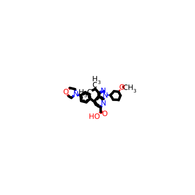 CO[C@H]1CCC[C@@H](n2nc(C(C)C)c3c(-c4ccc(N5CCOCC5)cc4)cc(C(=O)O)nc32)C1